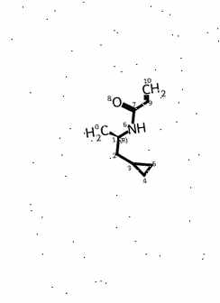 [CH2][C@H](CC1CC1)NC(=O)C=C